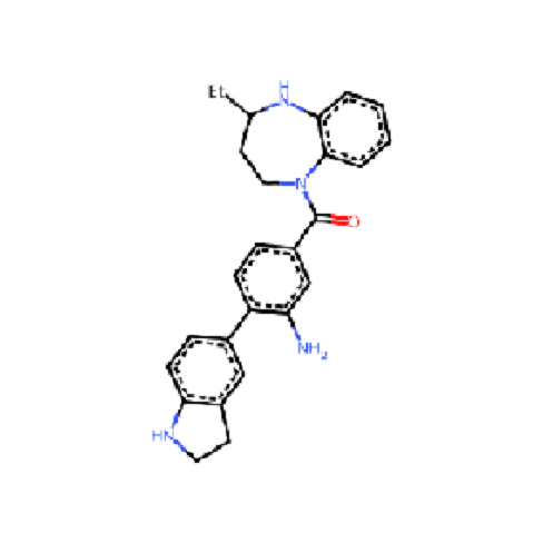 CCC1CCN(C(=O)c2ccc(-c3ccc4c(c3)CCN4)c(N)c2)c2ccccc2N1